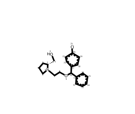 OC[C@H]1CCCN1CCOC(c1ccccc1)c1ccc(Cl)cc1